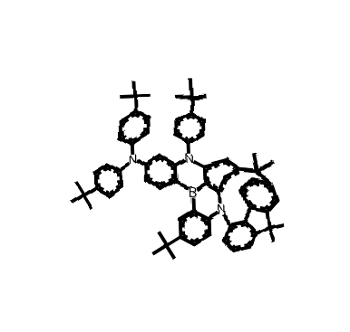 CC(C)(C)c1ccc(N(c2ccc(C(C)(C)C)cc2)c2ccc3c(c2)N(c2ccc(C(C)(C)C)cc2)c2cc4cc5c2B3c2cc(C(C)(C)C)ccc2N5c2cccc3c2-c2ccc(cc2C3(C)C)C4(C)C)cc1